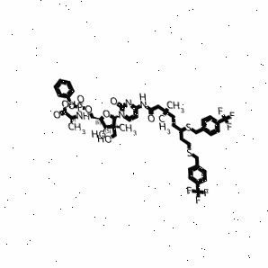 C[C@H](NP(=O)(OC[C@H]1O[C@@H](n2ccc(NC(=O)CC(C)(C)CCC(CCSCc3ccc(C(F)(F)F)cc3)SCc3ccc(C(F)(F)F)cc3)nc2=O)[C@](C)(CO)[C@@H]1O)Oc1ccccc1)C(=O)O